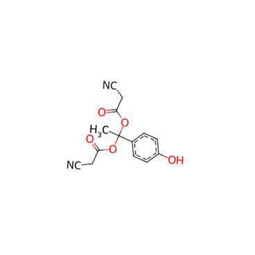 CC(OC(=O)CC#N)(OC(=O)CC#N)c1ccc(O)cc1